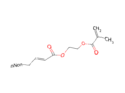 C=C(C)C(=O)OCCOC(=O)/C=C/CCCCCCCCCC